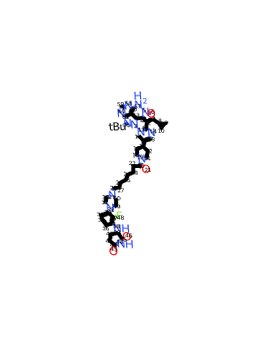 CC(C)(C)n1nc(-c2noc(C3CC3)c2-c2ncc(C3CCN(C(=O)CCCCCCCN4CCN(c5cccc(NC6CCC(=O)NC6=O)c5F)CC4)CC3)cn2)c2c(N)ncnc21